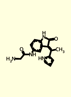 CC(=C1C(=O)Nc2ccc(NC(=O)CN)cc21)c1ccc[nH]1